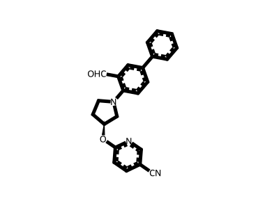 N#Cc1ccc(O[C@H]2CCN(c3ccc(-c4ccccc4)cc3C=O)C2)nc1